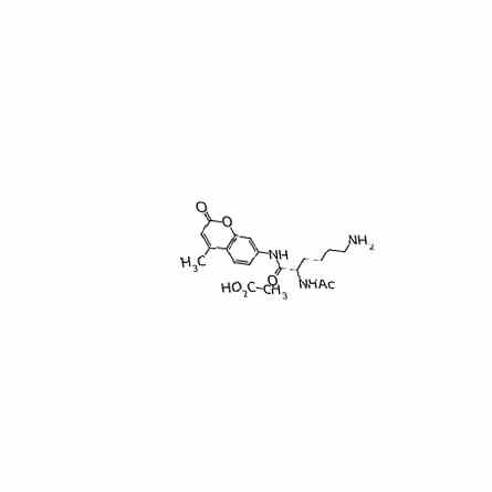 CC(=O)NC(CCCCN)C(=O)Nc1ccc2c(C)cc(=O)oc2c1.CC(=O)O